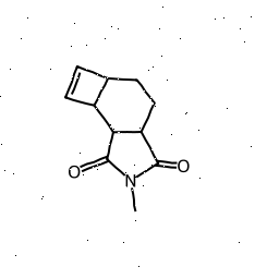 CN1C(=O)C2CCC3C=CC3C2C1=O